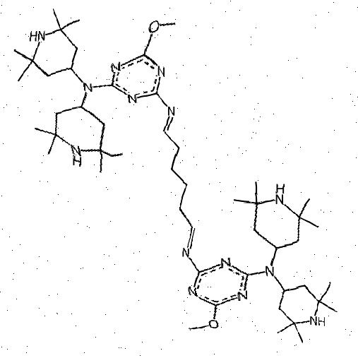 COc1nc(N=CCCCCC=Nc2nc(OC)nc(N(C3CC(C)(C)NC(C)(C)C3)C3CC(C)(C)NC(C)(C)C3)n2)nc(N(C2CC(C)(C)NC(C)(C)C2)C2CC(C)(C)NC(C)(C)C2)n1